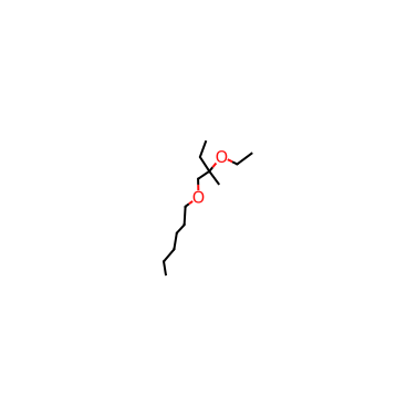 CCCCCCOCC(C)(CC)OCC